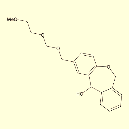 COCCOCOCc1ccc2c(c1)C(O)c1ccccc1CO2